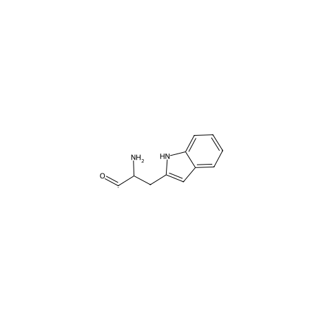 NC([C]=O)Cc1cc2ccccc2[nH]1